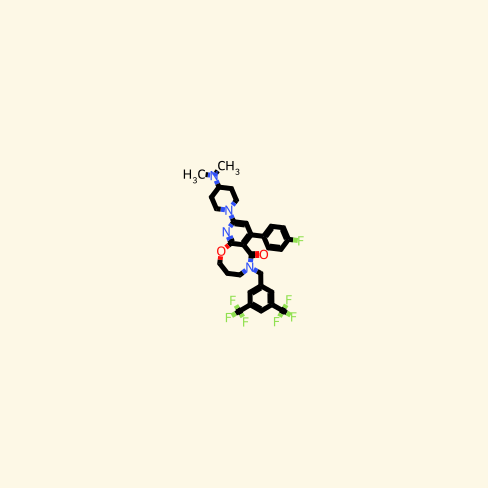 CN(C)C1CCN(c2cc(-c3ccc(F)cc3)c3c(n2)OCCCN(Cc2cc(C(F)(F)F)cc(C(F)(F)F)c2)C3=O)CC1